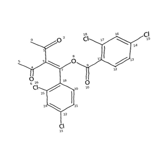 CC(=O)C(C(C)=O)=C(OC(=O)c1ccc(Cl)cc1Cl)c1ccc(Cl)cc1Cl